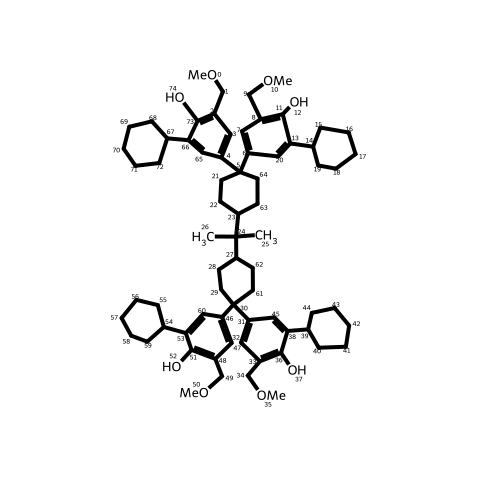 COCc1cc(C2(c3cc(COC)c(O)c(C4CCCCC4)c3)CCC(C(C)(C)C3CCC(c4cc(COC)c(O)c(C5CCCCC5)c4)(c4cc(COC)c(O)c(C5CCCCC5)c4)CC3)CC2)cc(C2CCCCC2)c1O